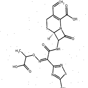 C=CC1=C(C(=O)O)N2C(=O)C(NC(=O)/C(=N\OC(C)C(=O)O)c3nsc(N)n3)[C@H]2SC1